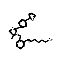 CC(=O)CCCC/C=C/c1ccccc1Cn1c(C)cnc1-c1ccc(-c2ccco2)cc1